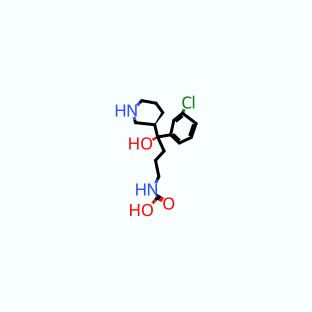 O=C(O)NCCC[C@@](O)(c1cccc(Cl)c1)[C@@H]1CCCNC1